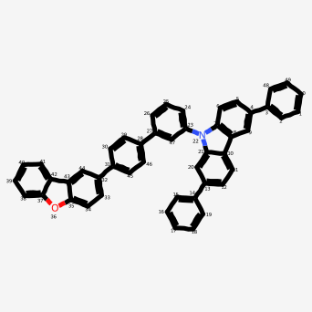 c1ccc(-c2ccc3c(c2)c2ccc(-c4ccccc4)cc2n3-c2cccc(-c3ccc(-c4ccc5oc6ccccc6c5c4)cc3)c2)cc1